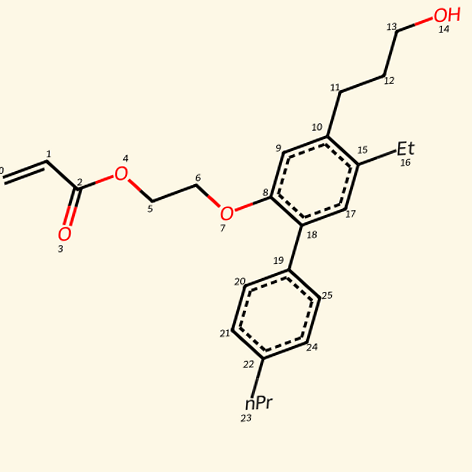 C=CC(=O)OCCOc1cc(CCCO)c(CC)cc1-c1ccc(CCC)cc1